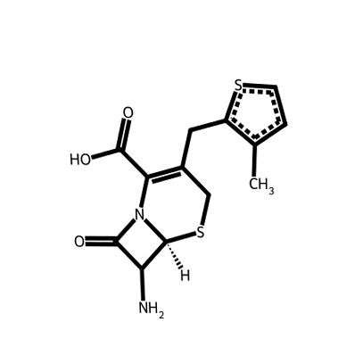 Cc1ccsc1CC1=C(C(=O)O)N2C(=O)C(N)[C@@H]2SC1